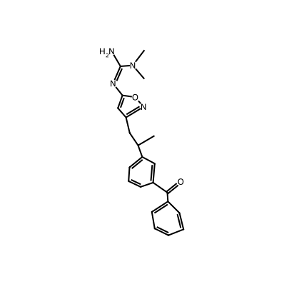 CC(Cc1cc(N=C(N)N(C)C)on1)c1cccc(C(=O)c2ccccc2)c1